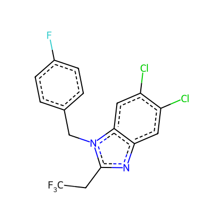 Fc1ccc(Cn2c(CC(F)(F)F)nc3cc(Cl)c(Cl)cc32)cc1